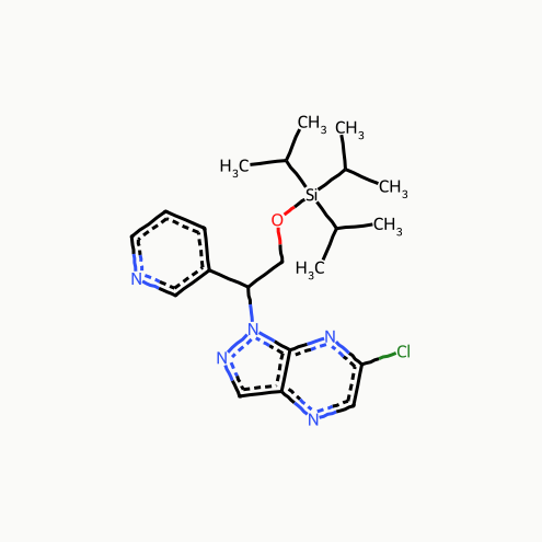 CC(C)[Si](OCC(c1cccnc1)n1ncc2ncc(Cl)nc21)(C(C)C)C(C)C